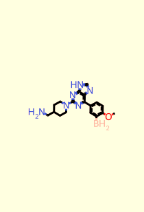 Bc1cc(-c2nc(N3CCC(CN)CC3)nc3[nH]cnc23)ccc1OC